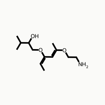 C/C=C(\C=C(/C)OCCN)OCC(O)C(C)C